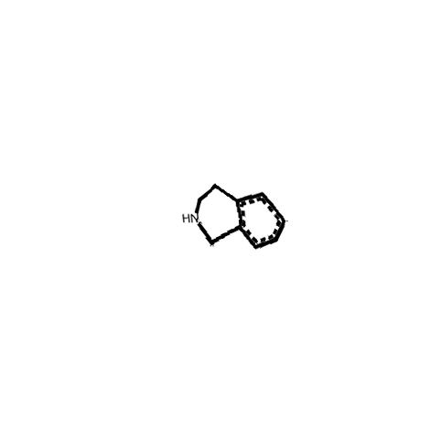 [C]1NCCc2c[c]ccc21